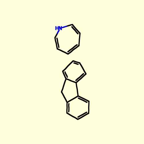 C1=CC=CNC=C1.c1ccc2c(c1)Cc1ccccc1-2